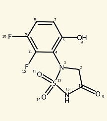 O=C1CN(c2c(O)ccc(F)c2F)S(=O)(=O)N1